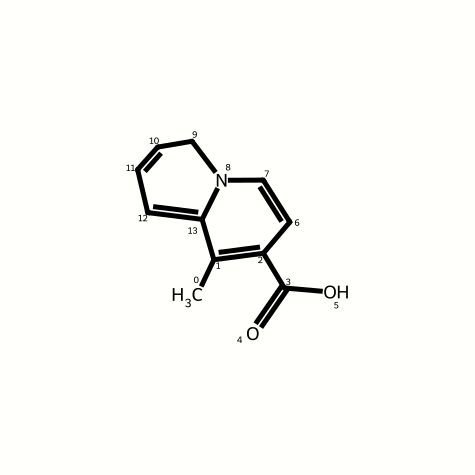 CC1=C(C(=O)O)C=CN2CC=CC=C12